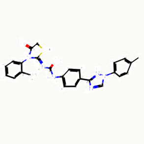 Cc1ccc(-n2cnc(-c3ccc(NC(=O)/N=C4\SCC(=O)N4c4ccccc4C(C)C)cc3)n2)cc1